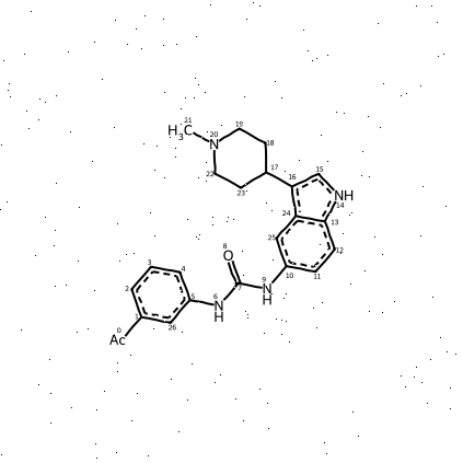 CC(=O)c1cccc(NC(=O)Nc2ccc3[nH]cc(C4CCN(C)CC4)c3c2)c1